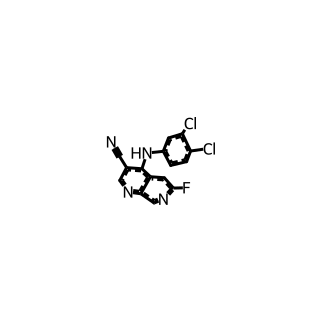 N#Cc1cnc2cnc(F)cc2c1Nc1ccc(Cl)c(Cl)c1